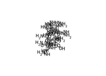 N=C(N)NCCC[C@H](NC(=O)[C@H](CCCNC(=N)N)NC(=O)[C@H](CCCNC(=N)N)NC(=O)[C@H](CCCNC(=N)N)NC(=O)[C@H](CCCNC(=N)N)NC(=O)[C@H](CCCCN)NC(=O)[C@H](CCCCN)NC(=O)[C@H](CCC(N)=O)NC(=O)[C@H](CCCNC(=N)N)NC(=O)CNC(=O)[C@@H](N)Cc1ccc(O)cc1)C(N)=O